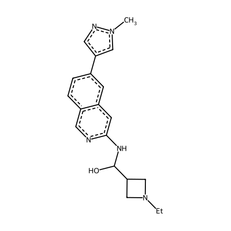 CCN1CC(C(O)Nc2cc3cc(-c4cnn(C)c4)ccc3cn2)C1